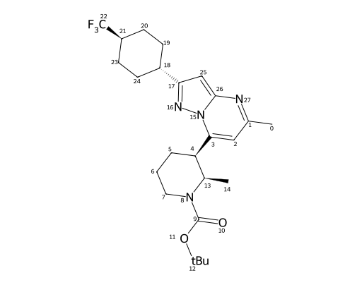 Cc1cc([C@@H]2CCCN(C(=O)OC(C)(C)C)[C@@H]2C)n2nc([C@H]3CC[C@H](C(F)(F)F)CC3)cc2n1